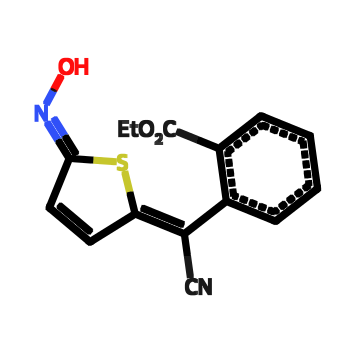 CCOC(=O)c1ccccc1C(C#N)=C1C=CC(=NO)S1